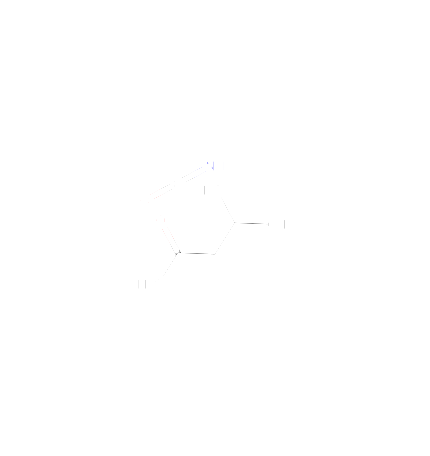 CC(=O)CC(C)C.N=C=O